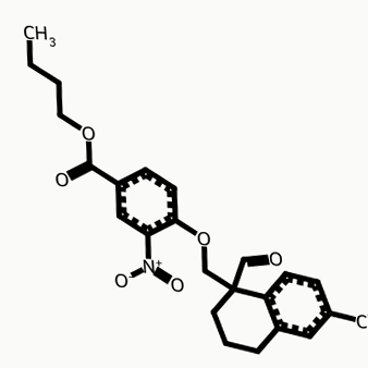 CCCCOC(=O)c1ccc(OCC2(C=O)CCCc3cc(Cl)ccc32)c([N+](=O)[O-])c1